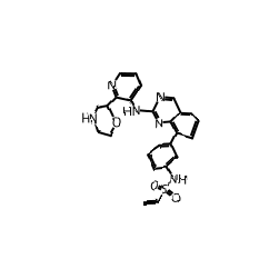 C=CS(=O)(=O)Nc1cccc(-c2cccc3cnc(Nc4cccnc4C4CNCCO4)nc23)c1